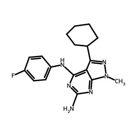 Cn1nc(C2CCCCC2)c2c(Nc3ccc(F)cc3)nc(N)nc21